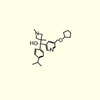 CC(C)c1ccc([C@](O)(c2cncc(COC3CCCC3)c2)C2(C)CN(C)C2)cc1